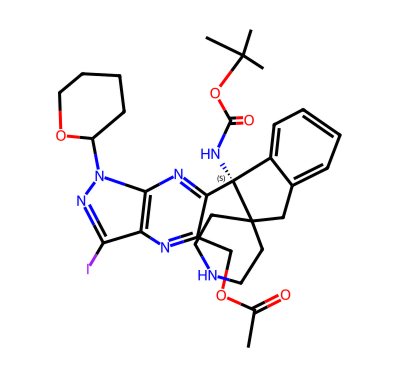 CC(=O)OCc1nc2c(I)nn(C3CCCCO3)c2nc1[C@@]1(NC(=O)OC(C)(C)C)c2ccccc2CC12CCNCC2